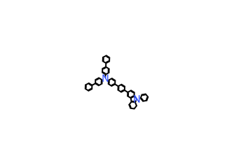 C1=Cc2c(n(-c3ccccc3)c3ccc(-c4ccc(-c5ccc(N(c6ccc(-c7ccccc7)cc6)c6ccc(-c7ccccc7)cc6)cc5)cc4)cc23)CC1